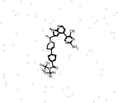 [2H]C([2H])([2H])N(C(=O)c1ccc(C2=CCN([C@@H](C)c3cc4c(-c5cnc(N)nc5C#N)ccnc4n3C)CC2)cc1)C([2H])([2H])[2H]